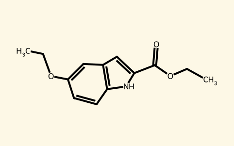 CCOC(=O)c1cc2cc(OCC)ccc2[nH]1